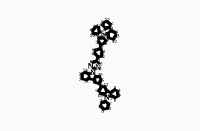 c1ccc(-n2c3ccccc3c3cc(-c4ccc5c(c4)c4ccccc4n5-c4ncc(-c5ccc(-c6ccc([Si](c7ccccc7)(c7ccccc7)c7ccccc7)cc6)cc5)cn4)ccc32)cc1